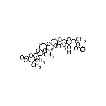 C=C(COC(=O)c1ccccc1)CC1CC(O)C2OC3CC4(C)OC5/C=C\CC6OC7C(C)CC8OC9(C)CC(C)CC%10OC(=O)CC%10OC9CC8OC7C/C=C\CC6OC5C/C=C\C4OC3CC2O1